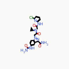 NC(=O)Nc1ccc2c(c1)c(C(N)=O)nn2CC(=O)N(CC(=O)Nc1cccc(Cl)n1)C1CC1